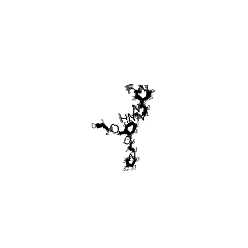 C=CCOCc1cc(Nc2nccc(-c3ccnc(F)c3)n2)ccc1OCCCN1CCCC1